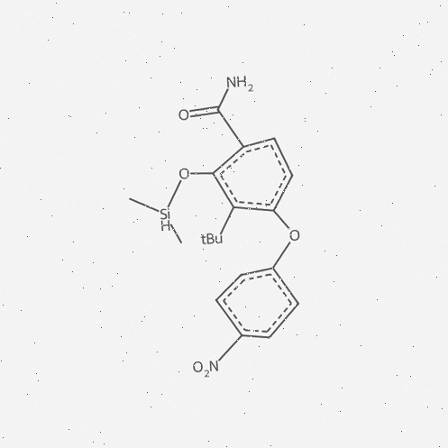 C[SiH](C)Oc1c(C(N)=O)ccc(Oc2ccc([N+](=O)[O-])cc2)c1C(C)(C)C